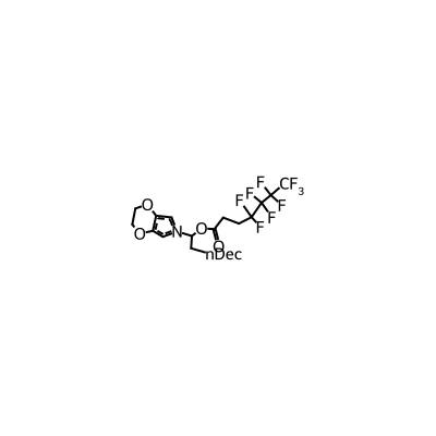 CCCCCCCCCCCC(OC(=O)CCC(F)(F)C(F)(F)C(F)(F)C(F)(F)F)n1cc2c(c1)OCCO2